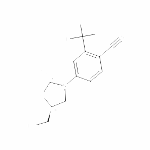 CC[C@@H]1CN(c2ccc(C#N)c(C(F)(F)F)c2)[C@@H](C)O1